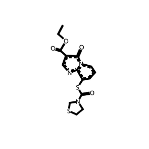 CCOC(=O)c1cnc2c(SC(=O)N3CCSC3)cccn2c1=O